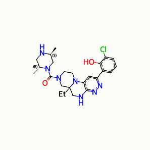 CCC12CNc3nnc(-c4cccc(Cl)c4O)cc3N1CCN(C(=O)N1C[C@H](C)NC[C@H]1C)C2